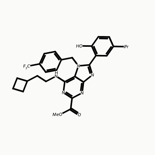 COC(=O)c1nc(NCCC2CCC2)c2c(n1)nc(-c1cc(C(C)C)ccc1O)n2Cc1ccc(C(F)(F)F)cc1